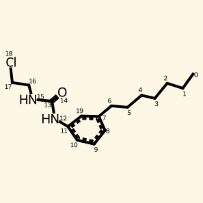 CCCCCCCc1cccc(NC(=O)NCCCl)c1